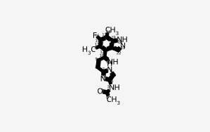 CC(=O)Nc1c[nH]c(/C=C\C(=N)c2c(C)c(F)c(C)c3[nH]ncc23)n1